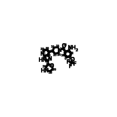 Nc1cc(OC(F)(F)F)ccc1C(=O)N1CCC(c2ccnc3[nH]c([C@@H]4CNCCO4)nc23)CC1